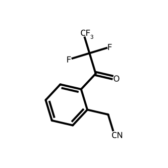 N#CCc1ccccc1C(=O)C(F)(F)C(F)(F)F